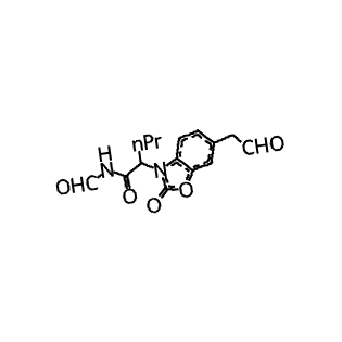 CCCC(C(=O)NC=O)n1c(=O)oc2cc(CC=O)ccc21